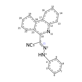 N#C/C(=N\Nc1ccccc1)c1nc2ccccc2c2ccccc12